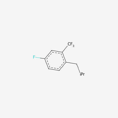 CC(C)Cc1ccc(F)cc1C(F)(F)F